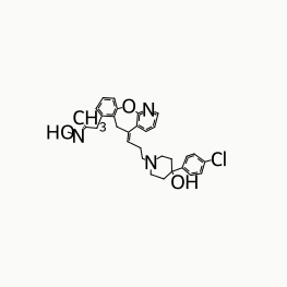 C/C(Cc1cccc2c1C/C(=C/CCN1CCC(O)(c3ccc(Cl)cc3)CC1)c1cccnc1O2)=N\O